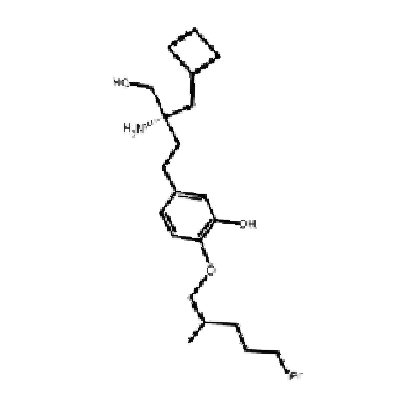 CC(C)CCCC(C)COc1ccc(CC[C@@](N)(CO)CC2CCC2)cc1O